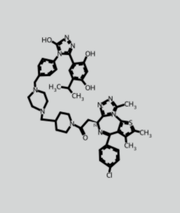 Cc1sc2c(c1C)C(c1ccc(Cl)cc1)=N[C@@H](CC(=O)N1CCC(CN3CCN(Cc4ccc(-n5c(O)nnc5-c5cc(C(C)C)c(O)cc5O)cc4)CC3)CC1)c1nnc(C)n1-2